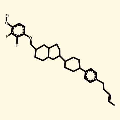 C/C=C/CCc1ccc(C2CCC(C3CCC4CC(COc5ccc(OCC)c(F)c5F)CCC4C3)CC2)cc1